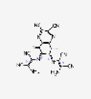 C=C1C(=N\C(C#N)=C(/N)C#N)/C(=N/C(C#N)=C(\N)C#N)C(=C)c2nc(C#N)c(C#N)nc21